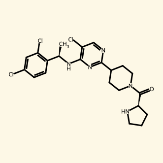 C[C@@H](Nc1nc(C2CCN(C(=O)[C@H]3CCCN3)CC2)ncc1Cl)c1ccc(Cl)cc1Cl